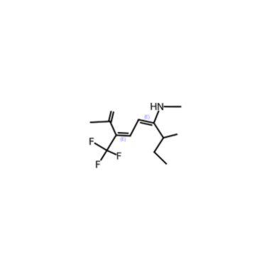 C=C(C)/C(=C\C=C(\NC)C(C)CC)C(F)(F)F